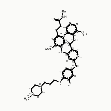 CC[C@H](C)NC(=O)CCc1ccc(Oc2nc(Nc3ccc(OCCCN4CCN(C)CC4)c(F)c3)ncc2C(=O)Nc2c(C)cccc2C)c(OC)c1